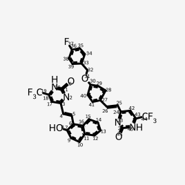 O=c1nc(/C=C/c2c(O)ccc3ccccc23)cc(C(F)(F)F)[nH]1.O=c1nc(/C=C/c2ccc(OCc3ccc(F)cc3)cc2)cc(C(F)(F)F)[nH]1